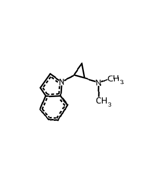 CN(C)C1CC1n1ccc2ccccc21